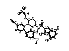 COc1ccc(-c2ccc(C#N)cc2)cc1CN(C(=O)c1sc2c(F)ccc(F)c2c1Cl)C1CCC(CNC(=O)O)CC1